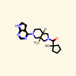 C[C@]12CN(C(=O)C3(C#N)CCCC3)C[C@H]1CCN(c1ncnc3[nH]ccc13)C2